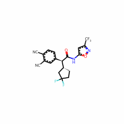 N#Cc1ccc([C@@H](C(=O)Nc2cc(C(F)(F)F)no2)[C@@H]2CCC(F)(F)C2)cc1C#N